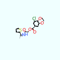 C[C@@H](NC(=O)COC(=O)c1cc(Cl)c2c(c1)OCCO2)c1cccs1